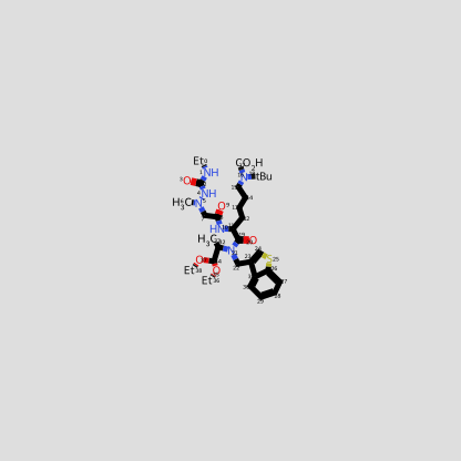 CCNC(=O)NN(C)CC(=O)NC(CCCCN(C(=O)O)C(C)(C)C)C(=O)N(Cc1csc2ccccc12)C(C)C(OCC)OCC